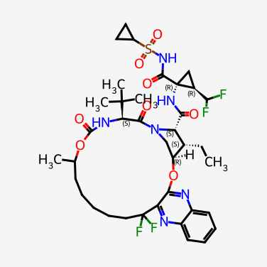 CC[C@@H]1[C@@H]2CN(C(=O)[C@H](C(C)(C)C)NC(=O)OC(C)CCCCCC(F)(F)c3nc4ccccc4nc3O2)[C@@H]1C(=O)N[C@]1(C(=O)NS(=O)(=O)C2CC2)C[C@H]1C(F)F